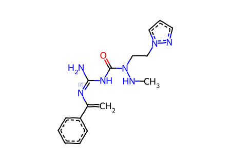 C=C(/N=C(/N)NC(=O)N(CCn1cccn1)NC)c1ccccc1